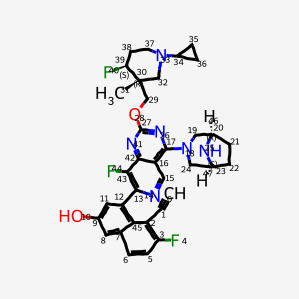 C#Cc1c(F)ccc2cc(O)cc(-c3ncc4c(N5C[C@H]6CC[C@@H](C5)N6)nc(OC[C@@]5(C)CN(C6CC6)CC[C@@H]5F)nc4c3F)c12